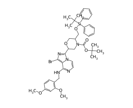 COc1ccc(CNc2nccn3c(C4CN(C(=O)OC(C)(C)C)C(CO[Si](c5ccccc5)(c5ccccc5)C(C)(C)C)CO4)nc(Br)c23)c(OC)c1